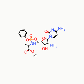 CC(C)OC(=O)[C@@H](C)N[P@](=O)(OC[C@H]1O[C@@H](n2ccc(N)nc2=O)[C@H](N)[C@@H]1O)Oc1ccccc1